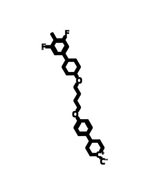 [CH2-][C+]1CCC(c2ccc(OCCCCOC3CCC(c4cc(F)c(C)c(F)c4)CC3)cc2)CC1